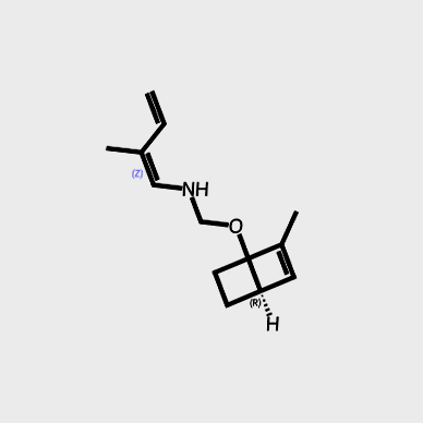 C=C/C(C)=C\NCOC12CC[C@@H]1C=C2C